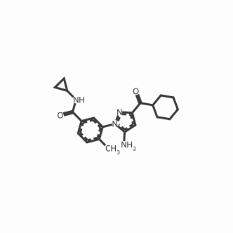 Cc1ccc(C(=O)NC2CC2)cc1-n1nc(C(=O)C2CCCCC2)cc1N